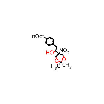 CCCCCCCCc1ccc(CC(O)C2([N+](=O)[O-])COC(C)(C)OC2)cc1